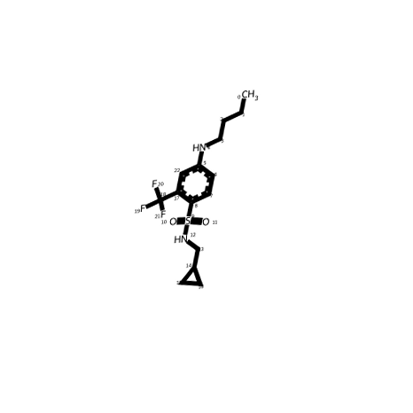 CCCCNc1ccc(S(=O)(=O)NCC2CC2)c(C(F)(F)F)c1